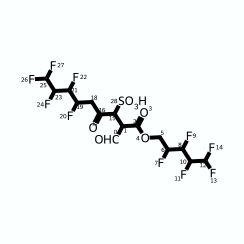 O=CC(C(=O)OCC(F)C(F)C(F)C(F)F)C(C(=O)CC(F)C(F)C(F)C(F)F)S(=O)(=O)O